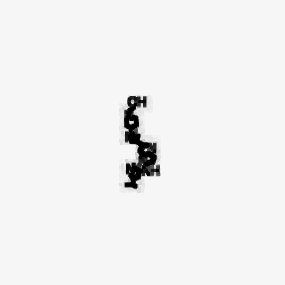 CC(C)c1cnnc(Nc2ccc3ncc(-c4cnn(C5CCN(CCO)CC5)c4)cc3n2)c1